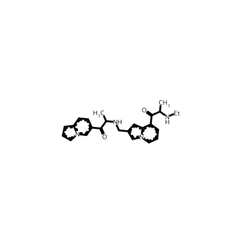 CCNC(C)C(=O)c1cccn2cc(CNC(C)C(=O)c3ccc4cccn4c3)cc12